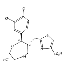 Cl.O=C(O)c1csc(C[C@@H]2CNCCO[C@H]2c2ccc(Cl)c(Cl)c2)n1